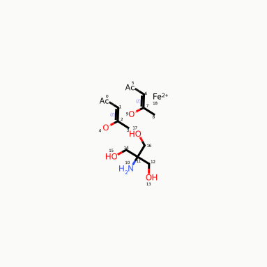 CC(=O)/C=C(/C)[O-].CC(=O)/C=C(/C)[O-].NC(CO)(CO)CO.[Fe+2]